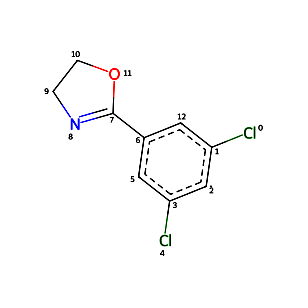 Clc1[c]c(Cl)cc(C2=NCCO2)c1